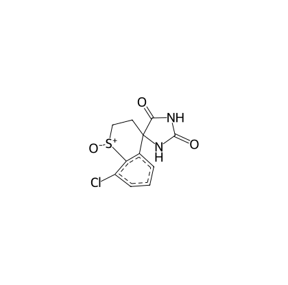 O=C1NC(=O)C2(CC[S+]([O-])c3c(Cl)cccc32)N1